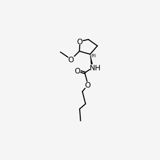 CCCCOC(=O)N[C@@H]1CCOC1OC